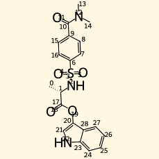 C[C@H](NS(=O)(=O)c1ccc(C(=O)N(C)C)cc1)C(=O)Oc1c[nH]c2ccccc12